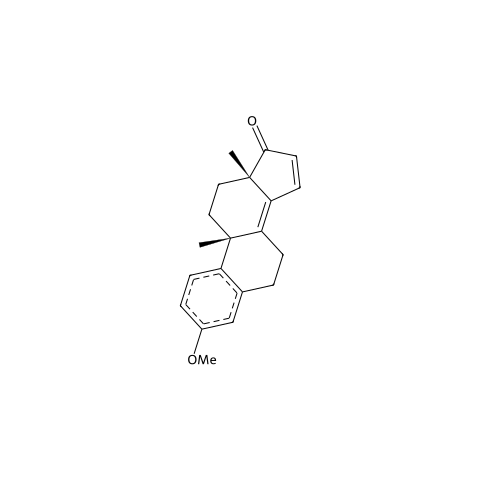 COc1ccc2c(c1)CCC1=C3C=CC(=O)[C@@]3(C)CC[C@]12C